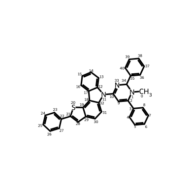 CN1C(c2ccccc2)=CC(n2c3ccccc3c3c4sc(-c5ccccc5)cc4ccc32)=NC1c1ccccc1